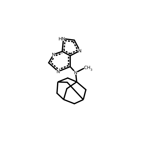 CN(c1ncnc2[nH]cnc12)C12CC3CC(CC(C3)C1)C2